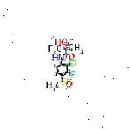 C[S+]([O-])c1ccc(NC(=O)C(C)(O)C(F)(F)F)c(Cl)c1F